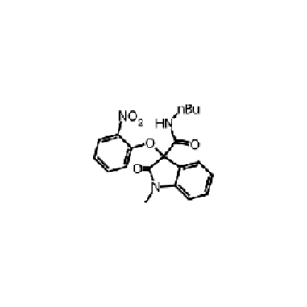 CCCCNC(=O)C1(Oc2ccccc2[N+](=O)[O-])C(=O)N(C)c2ccccc21